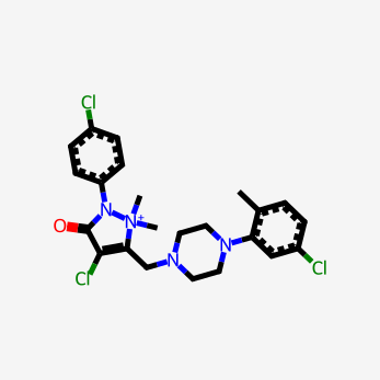 Cc1ccc(Cl)cc1N1CCN(CC2=C(Cl)C(=O)N(c3ccc(Cl)cc3)[N+]2(C)C)CC1